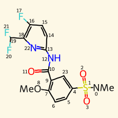 CNS(=O)(=O)c1ccc(OC)c(C(=O)Nc2ccc(F)c(C(F)F)n2)c1